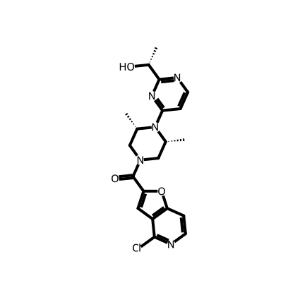 C[C@@H]1CN(C(=O)c2cc3c(Cl)nccc3o2)C[C@H](C)N1c1ccnc([C@@H](C)O)n1